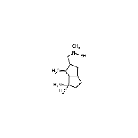 C=C1C(CN(C)S)CC2CCC(C)(N)C12